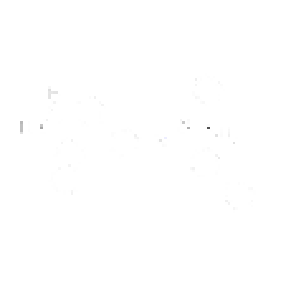 CC1(C)c2cc3ccccc3cc2-c2c(-c3cccc(/C=C/C(NC(N)c4ccccc4)c4ccc(-c5ccccc5)cc4)c3)cccc21